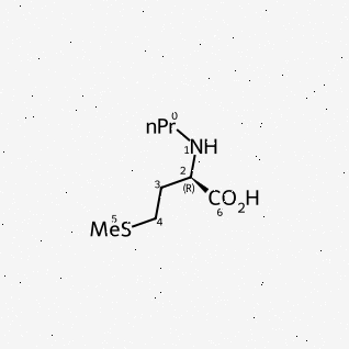 CCCN[C@H](CCSC)C(=O)O